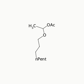 CCCCCCCCOC(C)OC(C)=O